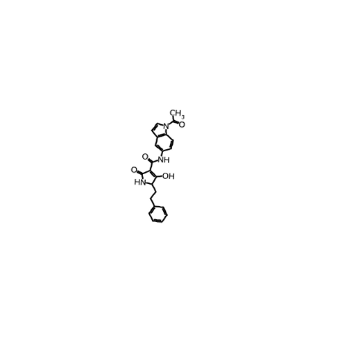 CC(=O)n1ccc2cc(NC(=O)C3=C(O)C(CCc4ccccc4)NC3=O)ccc21